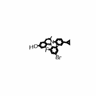 C[C@@H]1Cc2cc(O)ccc2[C@@H](c2c(F)cc(Br)cc2F)N1c1ccc(C2CC2)cc1